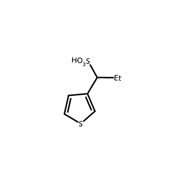 CCC(c1ccsc1)S(=O)(=O)O